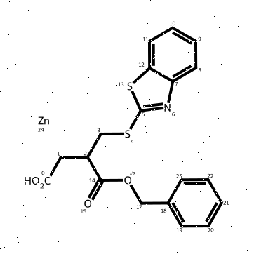 O=C(O)CC(CSc1nc2ccccc2s1)C(=O)OCc1ccccc1.[Zn]